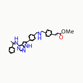 COC(=O)/C=C/c1ccc(CNCc2ccc(-c3cc4c(N[C@H](C)c5ccccc5)ncnc4[nH]3)cc2)cc1